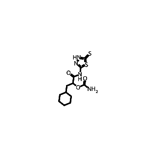 NC(=O)OC(CC1CCCCC1)C(=O)Nc1n[nH]c(=S)s1